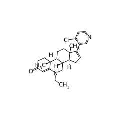 CCN1C[C@@H]2[C@H](CC[C@]3(C)C(c4cnccc4Cl)=CC[C@@H]23)[C@@]2(C)CCC(=O)C=C12